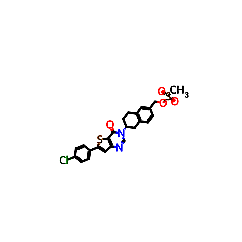 CS(=O)(=O)OCc1ccc2c(c1)CC[C@H](n1cnc3cc(-c4ccc(Cl)cc4)sc3c1=O)C2